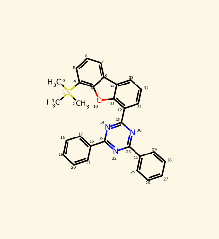 CS(C)(C)c1cccc2c1oc1c(-c3nc(-c4ccccc4)nc(-c4ccccc4)n3)cccc12